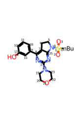 CCCCS(=O)(=O)N1CCc2c(-c3cccc(O)c3)nc(N3CCOCC3)nc21